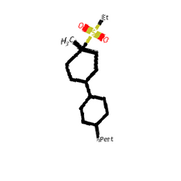 CCCCCC1CCC(C2CCC(C)(S(=O)(=O)CC)CC2)CC1